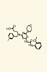 COc1ccccc1NC(=O)Nc1nc(N2CCOCC2)nc(N(CCC(=O)O)Cc2cccc(C)c2)n1